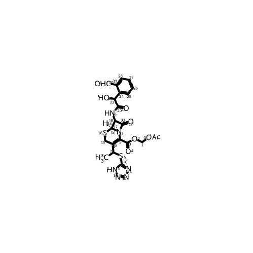 CC(=O)OCOC(=O)C1=C(C(C)Sc2nnn[nH]2)CS[C@H]2C(NC(=O)C(O)c3ccccc3C=O)C(=O)N12